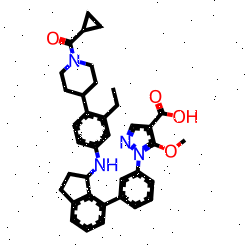 CCc1cc(NC2CCc3cccc(-c4cccc(-n5ncc(C(=O)O)c5OC)c4)c32)ccc1C1CCN(C(=O)C2CC2)CC1